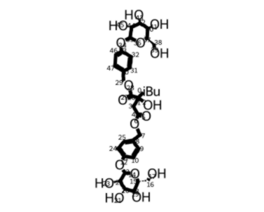 CCC(C)C(O)(CC(=O)OCc1ccc(OC2O[C@H](CO)[C@@H](O)[C@H](O)[C@H]2O)cc1)C(=O)OCc1ccc(OC2O[C@H](CO)[C@@H](O)[C@H](O)[C@H]2O)cc1